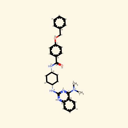 CN(C)c1nc(N[C@H]2CC[C@@H](NC(=O)c3ccc(OCc4ccccc4)cc3)CC2)nc2ccccc12